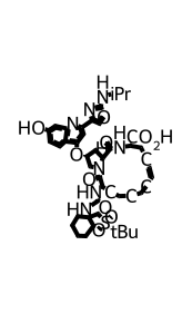 CC(C)Nc1nc(-c2cc(O[C@@H]3C[C@H]4C(=O)N[C@H](C(=O)O)CC/C=C\CCCCC[C@H](NC(=O)NC5(CS(=O)(=O)C(C)(C)C)CCCCC5)C(=O)N4C3)c3ccc(O)cc3n2)co1